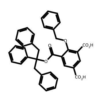 O=C(O)c1cc(C(=O)O)c(OCc2ccccc2)c(C(=O)OC(Cc2ccccc2)(Cc2ccccc2)c2ccccc2)c1